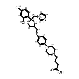 O=C(O)CCCN1CCN(c2ccc(OCC3COC(Cn4ccnc4)(c4ccc(Cl)cc4Cl)O3)cc2)CC1